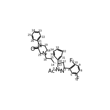 CC(=O)N1N=C(c2cc(F)ccc2F)C[C@]1(CCCN1CCN(c2ccccc2)C(=O)C1)c1ccccc1